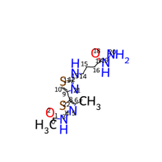 CC(=O)Nc1nc(C)c(-c2csc(NCCCC(=O)NN)n2)s1